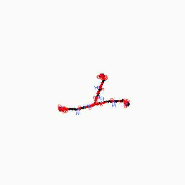 O=C(CCCCCCCNC(=O)CCOCC(COCCC(=O)NCCCCCCCC(=O)NCCCCCCCC(=O)ON1C(=O)CCC1=O)COCCC(=O)NCCCCCCCC(=O)NCCCCCCCC(=O)ON1C(=O)CCC1=O)NCCCCCCCC(=O)ON1C(=O)CCC1=O